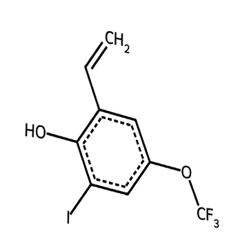 C=Cc1cc(OC(F)(F)F)cc(I)c1O